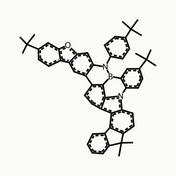 CC(C)(C)c1ccc(N2B3c4cc(C(C)(C)C)ccc4-n4c5ccc6c(c5c5ccc(c3c54)-c3cc4c(cc32)oc2cc(C(C)(C)C)ccc24)-c2ccccc2C6(C)C)cc1